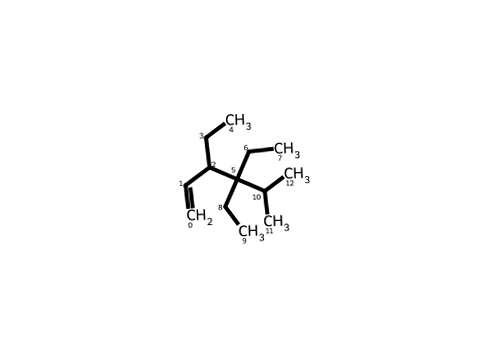 C=CC(CC)C(CC)(CC)C(C)C